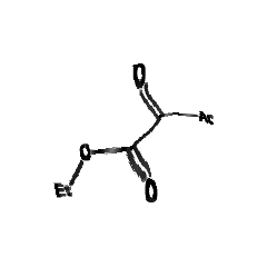 CCOC(=O)C(=O)C(C)=O